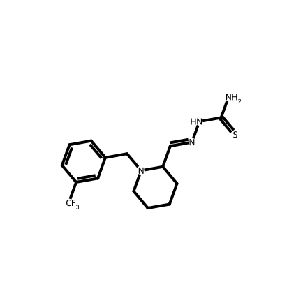 NC(=S)NN=CC1CCCCN1Cc1cccc(C(F)(F)F)c1